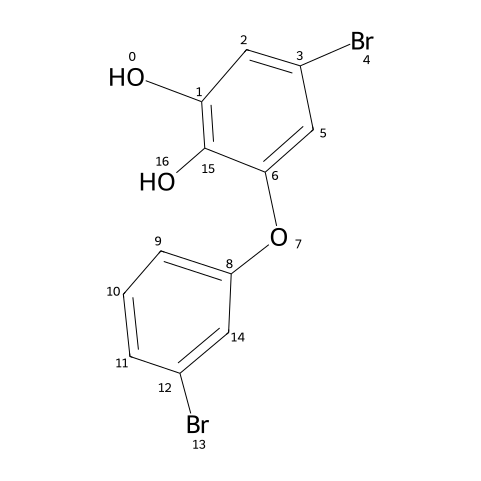 Oc1cc(Br)cc(Oc2cccc(Br)c2)c1O